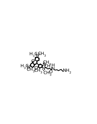 CCN(CCCC(=O)NCCCCCN)c1cc(OC)c(-c2c3ccc(=[N+](C)C)cc-3oc3cc(N(C)C)ccc23)cc1N(C)C